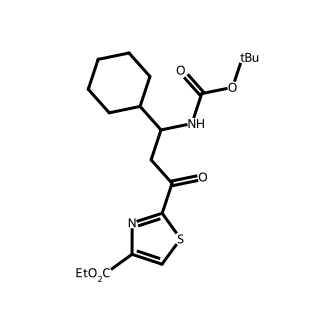 CCOC(=O)c1csc(C(=O)CC(NC(=O)OC(C)(C)C)C2CCCCC2)n1